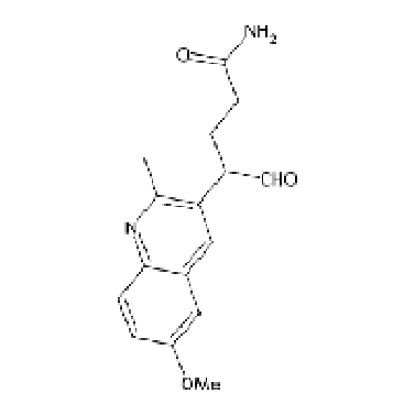 COc1ccc2nc(C)c(C(C=O)CCC(N)=O)cc2c1